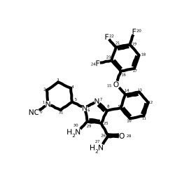 N#CN1CCCC(n2nc(-c3ccccc3Oc3ccc(F)c(F)c3F)c(C(N)=O)c2N)C1